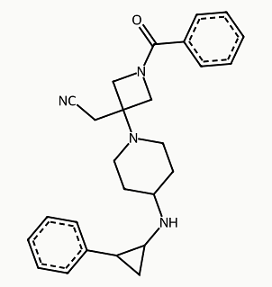 N#CCC1(N2CCC(NC3CC3c3ccccc3)CC2)CN(C(=O)c2ccccc2)C1